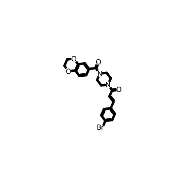 O=C(/C=C/c1ccc(Br)cc1)N1CCN(C(=O)c2ccc3c(c2)OCCO3)CC1